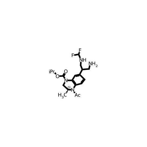 CC(=O)N1c2ccc(C(CN)CNC(F)F)cc2N(C(=O)OC(C)C)C[C@@H]1C